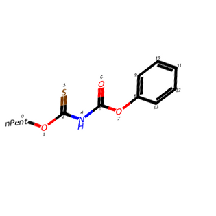 CCCCCOC(=S)NC(=O)Oc1ccccc1